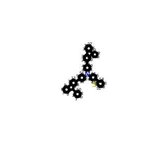 c1ccc(C2c3ccccc3-c3ccc(-c4ccc(N(c5ccc(-c6ccc7c(c6)C6(CCCC6)c6ccccc6-7)cc5)c5ccc6c(c5)sc5ccccc56)cc4)cc32)cc1